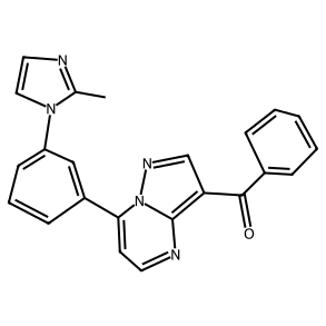 Cc1nccn1-c1cccc(-c2ccnc3c(C(=O)c4ccccc4)cnn23)c1